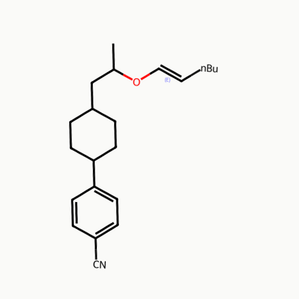 CCCC/C=C/OC(C)CC1CCC(c2ccc(C#N)cc2)CC1